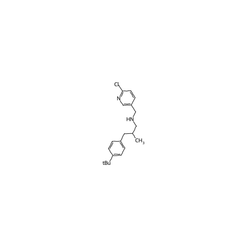 CC(CNCc1ccc(Cl)nc1)Cc1ccc(C(C)(C)C)cc1